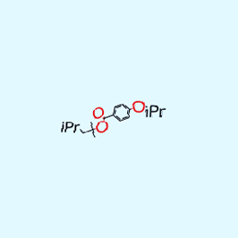 CC(C)CC(C)(C)OC(=O)c1ccc(OC(C)C)cc1